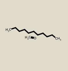 C=O.CCCCCCCCCCC